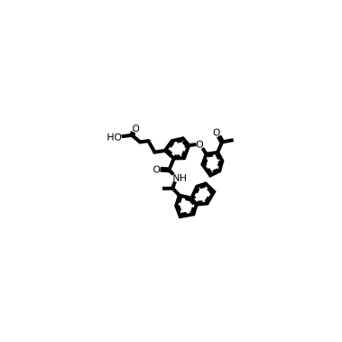 CC(=O)c1ccccc1Oc1ccc(CCCC(=O)O)c(C(=O)NC(C)c2cccc3ccccc23)c1